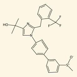 C[S+]([O-])c1cccc(-c2ccc(-n3cc(C(C)(C)O)nc3Cc3ccccc3C(F)(F)F)cc2)c1